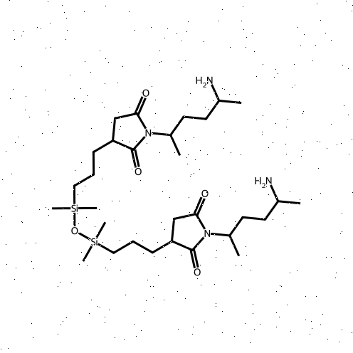 CC(N)CCC(C)N1C(=O)CC(CCC[Si](C)(C)O[Si](C)(C)CCCC2CC(=O)N(C(C)CCC(C)N)C2=O)C1=O